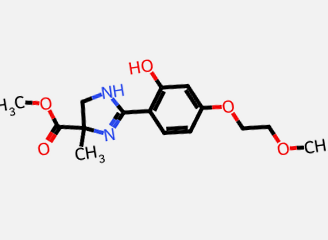 COCCOc1ccc(C2=NC(C)(C(=O)OC)CN2)c(O)c1